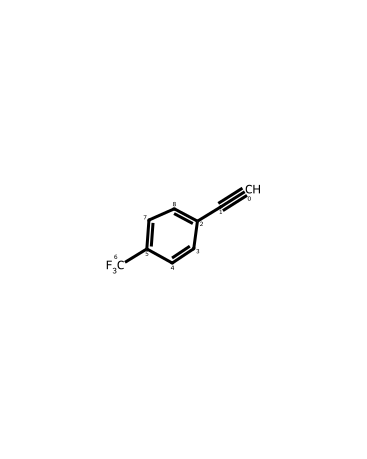 C#Cc1ccc(C(F)(F)F)cc1